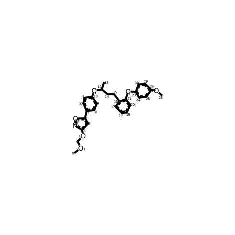 COCOc1cc(-c2ccc(OC(C)CCc3ccccc3Oc3ccc(OC)cc3)cc2)on1